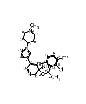 C[C@@H](OC1(N)C=C(c2cnn(C3CCN(C)CC3)c2)C=NC1)c1c(Cl)ccc(F)c1Cl